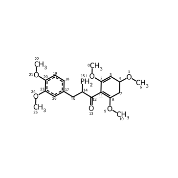 COC1=CC(OC)CC(OC)=C1C(=O)C(P)Cc1ccc(OC)c(OC)c1